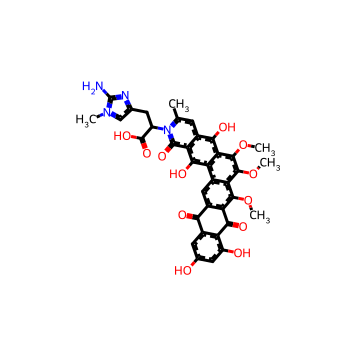 COc1c2c(cc3c1c(OC)c(OC)c1c(O)c4cc(C)n(C(Cc5cn(C)c(N)n5)C(=O)O)c(=O)c4c(O)c13)C(=O)c1cc(O)cc(O)c1C2=O